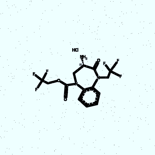 Cl.N[C@H]1CN(C(=O)OCC(F)(F)F)c2ccccc2N(CC(F)(F)F)C1=O